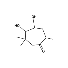 CC1CC(O)C(O)C(C)(C)CC1=O